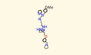 COc1ccc(CN(CCN(C)CCCCN/C(=N/CCCOc2cccc(CN3CCCCC3)c2)NC#N)c2ccccn2)cc1